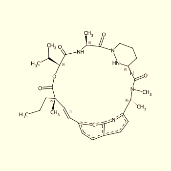 CCC[C@@]1(C)/C=C/c2ccc3ccc(nc3c2)[C@@H](C)N(C)C(=O)[C@@H]2CCCN(N2)C(=O)[C@H](C)NC(=O)[C@H](C(C)C)OC1=O